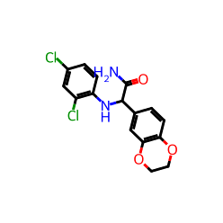 NC(=O)C(Nc1ccc(Cl)cc1Cl)c1ccc2c(c1)OCCO2